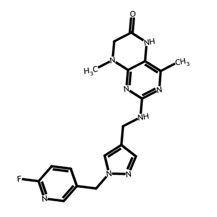 Cc1nc(NCc2cnn(Cc3ccc(F)nc3)c2)nc2c1NC(=O)CN2C